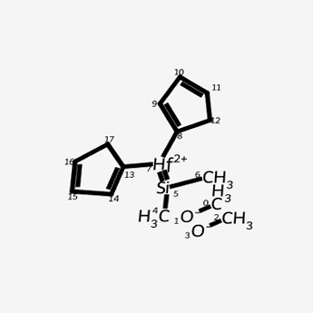 C[O-].C[O-].C[Si](C)=[Hf+2]([C]1=CC=CC1)[C]1=CC=CC1